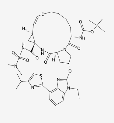 CCn1c(O[C@@H]2C[C@H]3C(=O)N[C@]4(C(=O)NS(=O)(=O)N(C)C)C[C@H]4/C=C\CCCCC[C@H](NC(=O)OC(C)(C)C)C(=O)N3C2)nc2c(-c3nc(C(C)C)cs3)cccc21